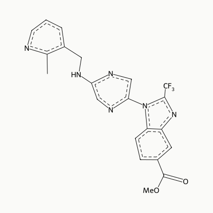 COC(=O)c1ccc2c(c1)nc(C(F)(F)F)n2-c1cnc(NCc2cccnc2C)cn1